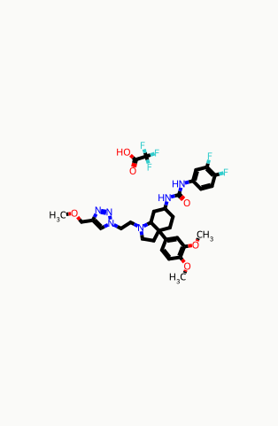 COCc1cn(CCN2CCC3(c4ccc(OC)c(OC)c4)CCC(NC(=O)Nc4ccc(F)c(F)c4)CC23)nn1.O=C(O)C(F)(F)F